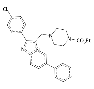 CCOC(=O)N1CCN(Cc2c(-c3ccc(Cl)cc3)nc3ccc(-c4ccccc4)cn23)CC1